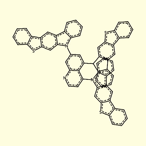 c1ccc2c(c1)-c1cc3c(cc1C2c1cc(-n2c4ccccc4c4cc5c(cc42)sc2ccccc25)cc2nccc(-n4c5ccccc5c5cc6c(cc54)sc4ccccc46)c12)sc1ccccc13